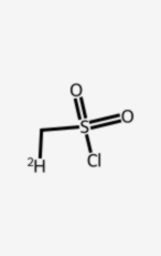 [2H]CS(=O)(=O)Cl